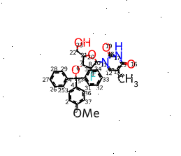 COc1ccc(C(O[C@H]2[C@H](F)[C@H](n3cc(C)c(=O)[nH]c3=O)O[C@@H]2CO)(c2ccccc2)c2ccccc2)cc1